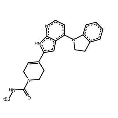 CC(C)(C)NC(=O)N1CC=C(c2cc3c(N4CCc5ccccc54)ccnc3[nH]2)CC1